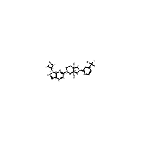 FC(F)(F)c1ccnc(N2C[C@H]3CCN(c4cnc5cnn(C6COC6)c5n4)C[C@H]3C2)c1